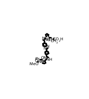 COC(=O)N[C@H](C(=O)N1CCCC1c1nc(-c2ccc(-c3cnc4cc(-c5cnc([C@@H]6CCCN6C(=O)CN(C)C(=O)O)[nH]5)ccc4n3)cc2)c[nH]1)C(C)C